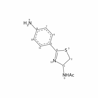 CC(=O)NC1CSC(c2ccc(N)cc2)=N1